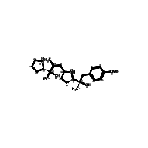 COc1ccc(C[C@@](C)(O)[C@@H]2CCC(CC(C)C(O)(C(C)C)[C@@H]3CCCN3)N2)cc1